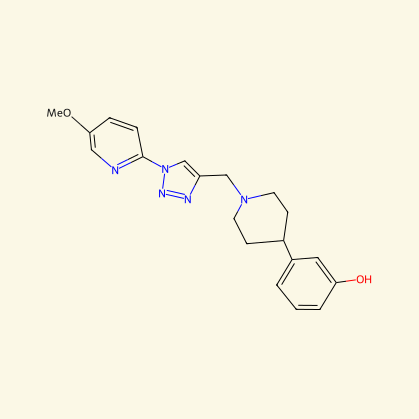 COc1ccc(-n2cc(CN3CCC(c4cccc(O)c4)CC3)nn2)nc1